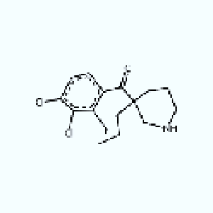 O=C(c1ccc(Cl)c(Cl)c1F)C1(CCI)CCCNC1